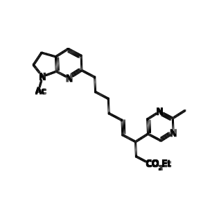 CCOC(=O)CC(C=CCCCCc1ccc2c(n1)N(C(C)=O)CC2)c1cnc(C)nc1